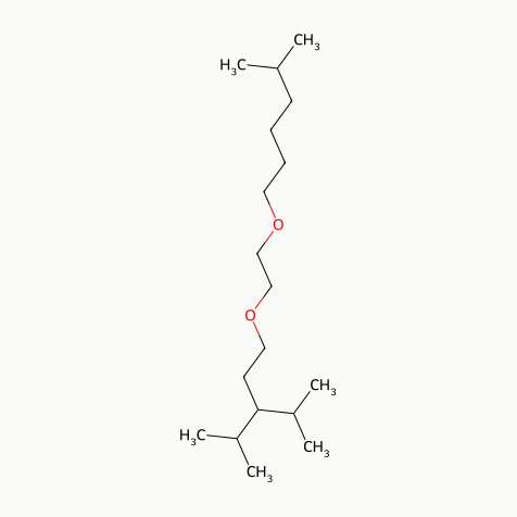 CC(C)CCCCOCCOCCC(C(C)C)C(C)C